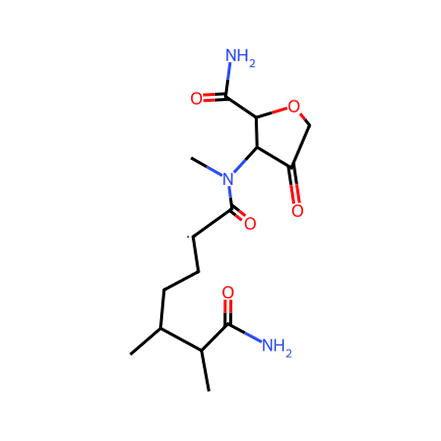 CC(CC[CH]C(=O)N(C)C1C(=O)COC1C(N)=O)C(C)C(N)=O